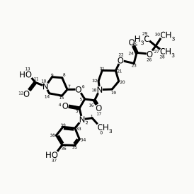 CCN(C(=O)C(OC1CCN(C(=O)O)CC1)C(=O)N1CCC(OCC(=O)OC(C)(C)C)CC1)c1ccc(O)cc1